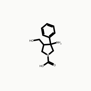 NC1(c2ccccc2)CN(C(=O)O)CC1CO